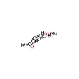 COC(=O)[C@@]1(C)CC[C@]2(C)CC[C@]3(C)C(=CCC4[C@@]5(C)CCC(O[Si](C)(C)C(C)(C)C)C(C)(C)[C@@H]5CC[C@]43C)[C@@H]2C1